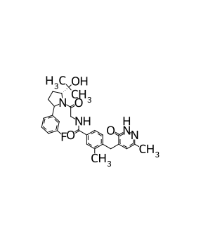 Cc1cc(Cc2ccc(C(=O)NCC(=O)N3C(c4cccc(F)c4)CC[C@@H]3C(C)(C)O)cc2C)c(=O)[nH]n1